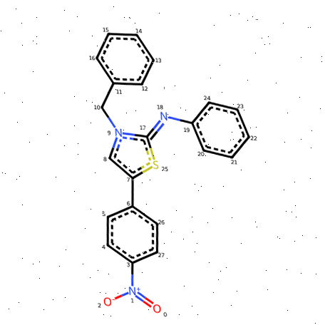 O=[N+]([O-])c1ccc(-c2cn(Cc3ccccc3)c(=Nc3ccccc3)s2)cc1